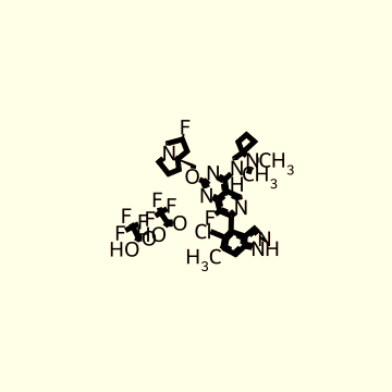 Cc1cc2[nH]ncc2c(-c2ncc3c(NCC4(N(C)C)CCC4)nc(OC[C@@]45CCCN4C[C@H](F)C5)nc3c2F)c1Cl.O=C(O)C(F)(F)F.O=C(O)C(F)(F)F